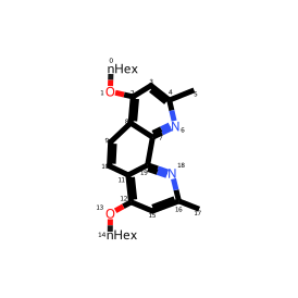 CCCCCCOc1cc(C)nc2c1ccc1c(OCCCCCC)cc(C)nc12